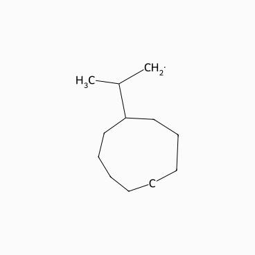 [CH2]C(C)C1CCCCCCCC1